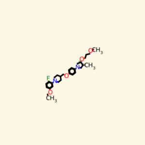 CCOc1ccc(F)c(N2CCC(COc3ccc(N4C[C@H](OCCCOC)[C@@H](C)C4)cc3)CC2)c1